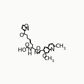 COc1cc2nc(C)ccc2cc1-c1cnc(C(CC=CCCC(=O)c2ccon2)NC(=O)O)o1